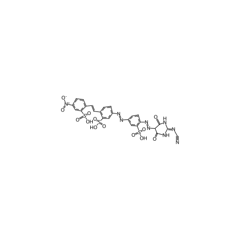 N#CN=C1NC(=O)C(N=Nc2ccc(N=Nc3ccc(/C=C/c4ccc([N+](=O)[O-])cc4S(=O)(=O)O)c(S(=O)(=O)O)c3)cc2S(=O)(=O)O)C(=O)N1